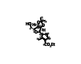 CCOC(=O)c1nnn([C@@H]2O[C@H](CO)[C@H]3OC(C)(C)O[C@H]32)c1C